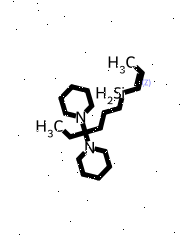 C/C=C\[SiH2]CCCC(CC)(N1CCCCC1)N1CCCCC1